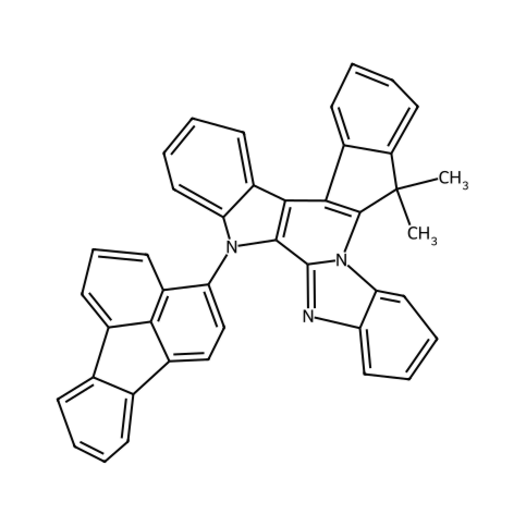 CC1(C)c2ccccc2-c2c1n1c3ccccc3nc1c1c2c2ccccc2n1-c1ccc2c3c(cccc13)-c1ccccc1-2